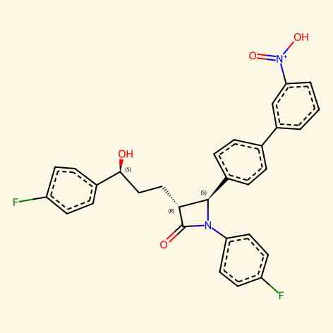 O=C1[C@H](CC[C@H](O)c2ccc(F)cc2)[C@@H](c2ccc(-c3cccc([N+](=O)O)c3)cc2)N1c1ccc(F)cc1